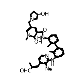 C=Nc1c(/C=C(\C)C=O)ccnc1Nc1cccc(-c2cccc(NC(=O)C3=CC(CN4CC[C@@H](O)C4)=CN(C)C3O)c2C)c1C